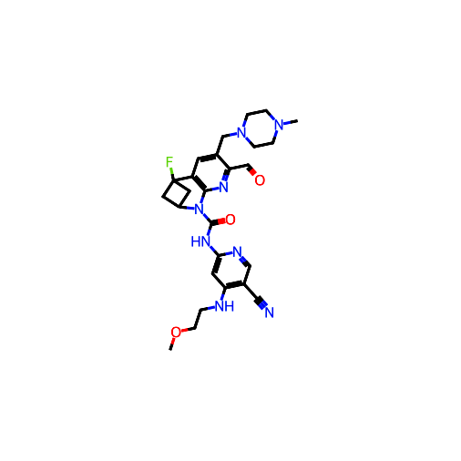 COCCNc1cc(NC(=O)N2c3nc(C=O)c(CN4CCN(C)CC4)cc3C3(F)CC2C3)ncc1C#N